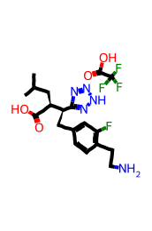 CC(C)C[C@H](C(=O)O)[C@H](Cc1ccc(CCN)c(F)c1)c1nn[nH]n1.O=C(O)C(F)(F)F